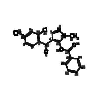 Cn1ncc(C(=O)c2ccc(Cl)cc2Cl)c1OC(=O)c1ccccc1